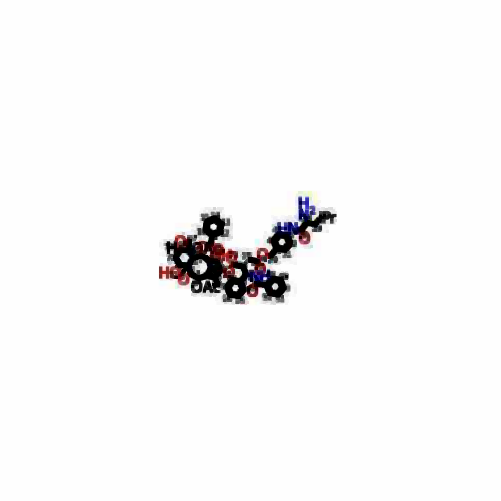 CC(=O)O[C@H]1C(=O)[C@@]2(C)C([C@H](OC(=O)c3ccccc3)[C@]3(O)C[C@H](OC(=O)[C@H](CC(=O)OCc4ccc(NC(=O)[C@@H](N)CC(C)C)cc4)[C@@H](NC(=O)c4ccccc4)c4ccccc4)C(C)=C1C3(C)C)[C@]1(OC(C)=O)CO[C@@H]1C[C@@H]2O